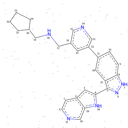 c1cc2cc(-c3n[nH]c4ccc(-c5cncc(CNCC6CCCC6)c5)cc34)[nH]c2cn1